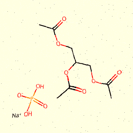 CC(=O)OCC(COC(C)=O)OC(C)=O.O=P([O-])(O)O.[Na+]